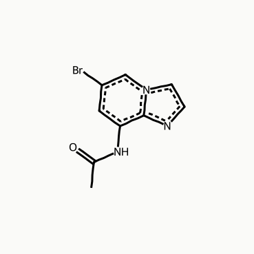 CC(=O)Nc1cc(Br)cn2ccnc12